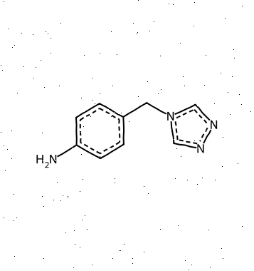 Nc1ccc(Cn2cnnc2)cc1